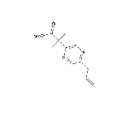 C=CCc1cnc(C(C)(C)C(=O)OC)cn1